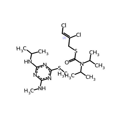 CC(C)N(C(=O)SC/C(Cl)=C/Cl)C(C)C.CNc1nc(NC(C)C)nc(SC)n1